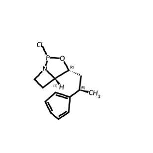 C[C@H](C[C@H]1OP(Cl)N2CC[C@@H]12)c1ccccc1